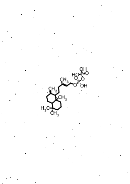 C=C1CCC2C(C)(C)CCCC2(C)C1CCC(C)=CCOP(=O)(O)OP(=O)(O)O